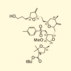 C=C1C(C[C@@H]2O[C@H](C[C@H]3CN(C(=O)OC(C)(C)C)C(C)(C)O3)[C@H](OC)[C@H]2CS(=O)(=O)c2ccc(C)cc2)O[C@@H](CC[C@@H]2O[C@@H](CCCO)CC2=C)C[C@H]1C